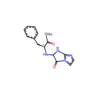 COC(=O)[C@H](Cc1ccccc1)NC1Nc2nccn2C1=O